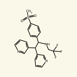 CS(=O)(=O)c1ccc(C(NCC(F)(F)F)C(c2cccnc2)c2cccnc2)cc1